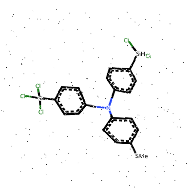 CSc1ccc(N(c2ccc([SiH](Cl)Cl)cc2)c2ccc([Si](Cl)(Cl)Cl)cc2)cc1